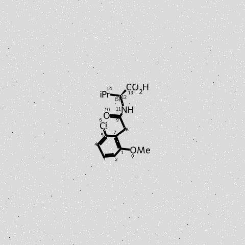 COc1cccc(Cl)c1CC(=O)N[C@H](C(=O)O)C(C)C